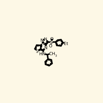 CCc1ccc(S(=O)(=O)c2nnn3c2nc(NC(C)c2ccccc2)c2sccc23)cc1